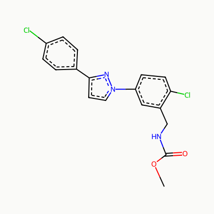 COC(=O)NCc1cc(-n2ccc(-c3ccc(Cl)cc3)n2)ccc1Cl